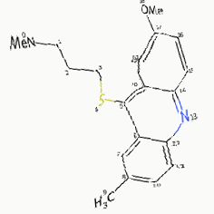 CNCCCSc1c2cc(C)ccc2nc2ccc(OC)cc12